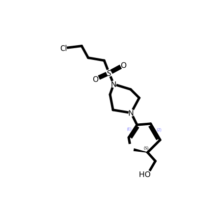 C/C=C(\C=C/[C@H](C)CO)N1CCN(S(=O)(=O)CCCCl)CC1